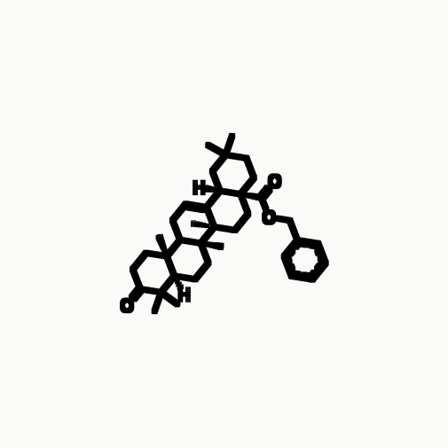 CC1(C)CC[C@]2(C(=O)OCc3ccccc3)CC[C@]3(C)C(=CCC4[C@@]5(C)CCC(=O)C(C)(C)[C@@H]5CC[C@]43C)[C@@H]2C1